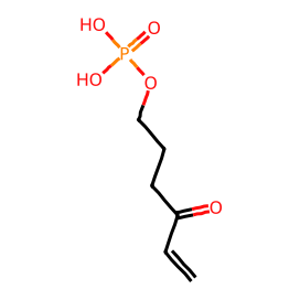 C=CC(=O)CCCOP(=O)(O)O